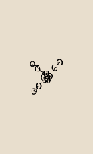 C[Si]1(C)O[Si](C)(CCCOCC2CO2)O[Si](C)(CCCOCC2CO2)O[Si](C)(CCCOCC2CO2)O1